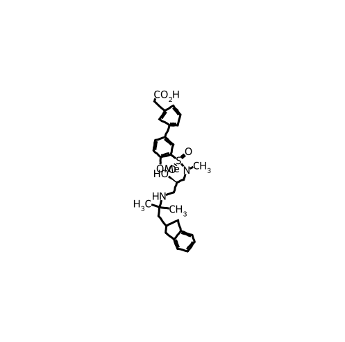 COc1ccc(-c2cccc(CC(=O)O)c2)cc1S(=O)(=O)N(C)C[C@H](O)CNC(C)(C)CC1Cc2ccccc2C1